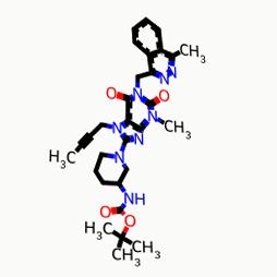 CC#CCn1c(N2CCCC(NC(=O)OC(C)(C)C)C2)nc2c1c(=O)n(Cc1nnc(C)c3ccccc13)c(=O)n2C